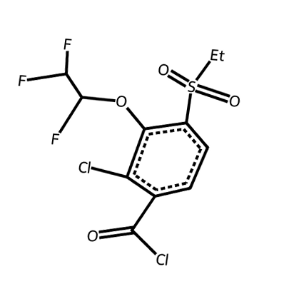 CCS(=O)(=O)c1ccc(C(=O)Cl)c(Cl)c1OC(F)C(F)F